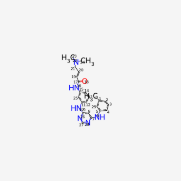 Cc1cccc(Nc2cc(Nc3cccc(NC(=O)C=CCN(C)C)c3)ncn2)c1